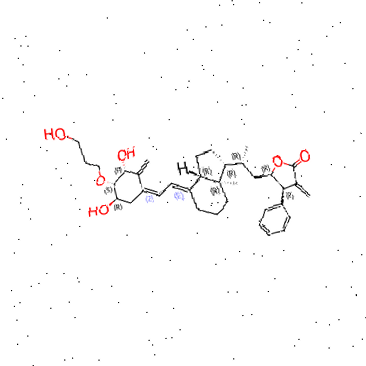 C=C1/C(=C\C=C2/CCC[C@]3(C)[C@@H]([C@H](C)C[C@H]4OC(=O)C(=C)[C@H]4c4ccccc4)CC[C@@H]23)C[C@@H](O)[C@H](OCCCO)[C@@H]1O